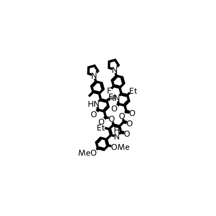 CCc1cc(C(=O)Oc2c(CC)c(-c3ccc(OC)cc3OC)[nH]c(=O)c2C(=O)OC(=O)c2cc(CC)c(-c3ccc(N4CCCC4)cc3F)[nH]c2=O)c(=O)[nH]c1-c1ccc(N2CCCC2)cc1C